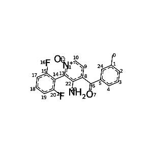 Cc1cccc(C(=O)c2cc[n+]([O-])c(-c3c(F)cccc3F)c2N)c1